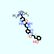 CCCN(C)C(C)c1ccc(Nc2cc(-c3ccc(F)c(NC(=O)c4cc5c(O)cccc5s4)c3)n[nH]c2=O)nc1